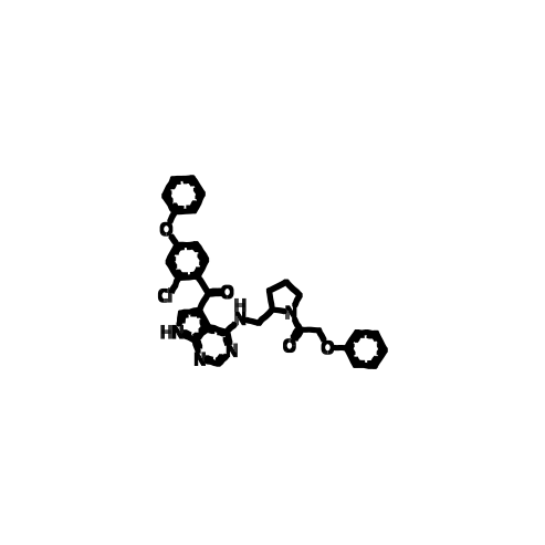 O=C(c1ccc(Oc2ccccc2)cc1Cl)c1c[nH]c2ncnc(NCC3CCCN3C(=O)COc3ccccc3)c12